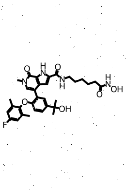 Cc1cc(F)cc(C)c1Oc1ccc(C(C)(C)O)cc1-c1cn(C)c(=O)c2[nH]c(C(=O)NCCCCCC(=O)NO)cc12